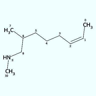 C/C=C\CCCC(C)CNC